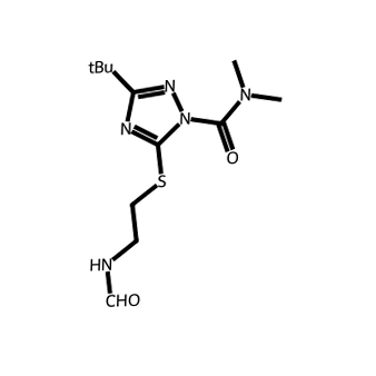 CN(C)C(=O)n1nc(C(C)(C)C)nc1SCCNC=O